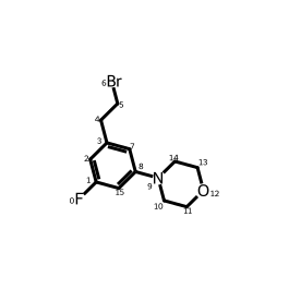 Fc1cc(CCBr)cc(N2CCOCC2)c1